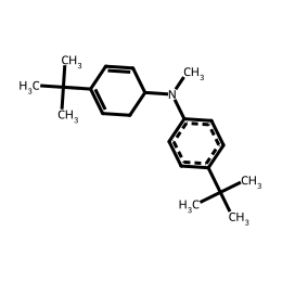 CN(c1ccc(C(C)(C)C)cc1)C1C=CC(C(C)(C)C)=CC1